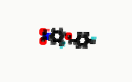 O=[N+]([O-])c1ccc(OCc2ccc(F)cc2)c(F)c1